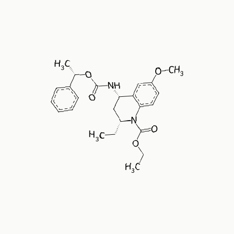 CCOC(=O)N1c2ccc(OC)cc2[C@@H](NC(=O)O[C@@H](C)c2ccccc2)C[C@H]1CC